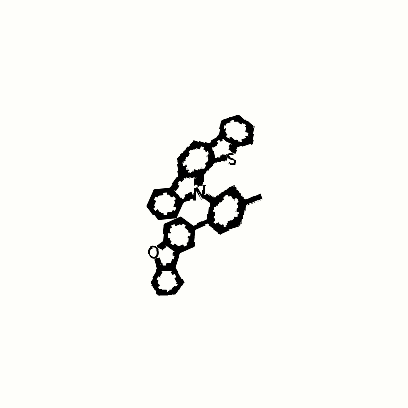 Cc1ccc(-c2ccc3oc4ccccc4c3c2)c(-n2c3ccccc3c3ccc4c5ccccc5sc4c32)c1